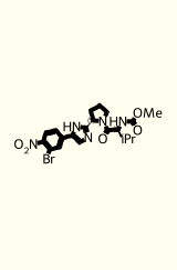 COC(=O)N[C@H](C(=O)N1CCC[C@H]1c1ncc(-c2ccc([N+](=O)[O-])c(Br)c2)[nH]1)C(C)C